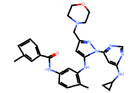 Cc1cccc(C(=O)Nc2ccc(C)c(Nc3cc(CN4CCOCC4)nn3-c3cc(NC4CC4)ncn3)c2)c1